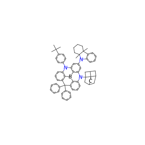 CC(C)(C)c1ccc(N2c3cc(N4c5ccccc5C5(C)CCCCC45C)cc4c3B3c5c2cccc5C(c2ccccc2)(c2ccccc2)c2cccc(c23)N4C23CC4CC5CC(C2)[C@]53C4)cc1